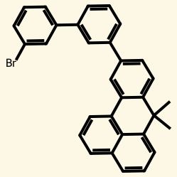 CC1(C)c2ccc(-c3cccc(-c4cccc(Br)c4)c3)cc2-c2cccc3cccc1c23